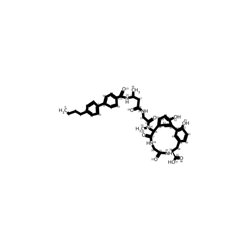 CCCCc1ccc(-c2ccc(C(=O)NC(C)CC(=O)NCC(=O)N(C)C3C(=O)NCC(=O)N[C@H](C(=O)O)Cc4ccc(O)c(c4)-c4cc3ccc4O)cc2)cc1